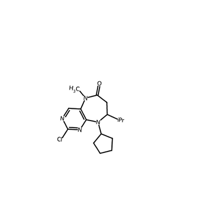 CC(C)C1CC(=O)N(C)c2cnc(Cl)nc2N1C1CCCC1